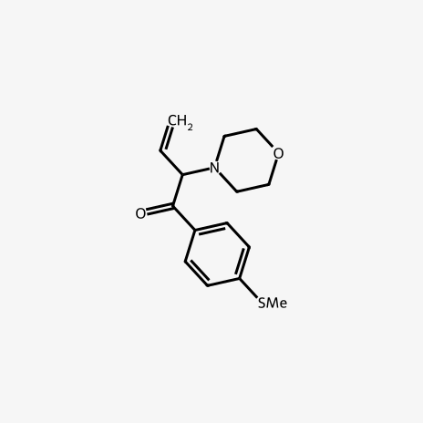 C=CC(C(=O)c1ccc(SC)cc1)N1CCOCC1